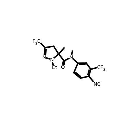 [C-]#[N+]c1ccc(N(C)C(=O)C2(C)CC(C(F)(F)F)=NN2CC)cc1C(F)(F)F